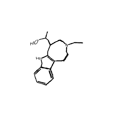 CCN1CCc2c([nH]c3ccccc23)C(C(C)O)C1